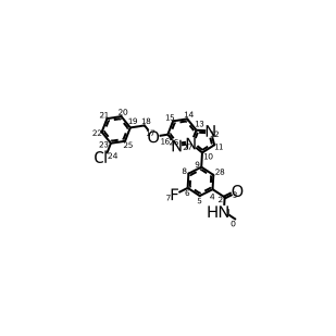 CNC(=O)c1cc(F)cc(-c2cnc3ccc(OCc4cccc(Cl)c4)nn23)c1